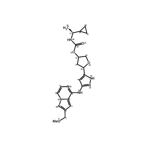 COCc1cc2c(Nc3cc(C4CC(OC(=O)N[C@@H](C)C5CC5)CO4)[nH]n3)nccn2n1